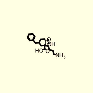 NCCCCC1(C(=O)O)CC(Cc2ccccc2)CCP1(=O)O